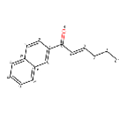 [CH2]CC[C]=CC(=O)c1ccc2ccccc2c1